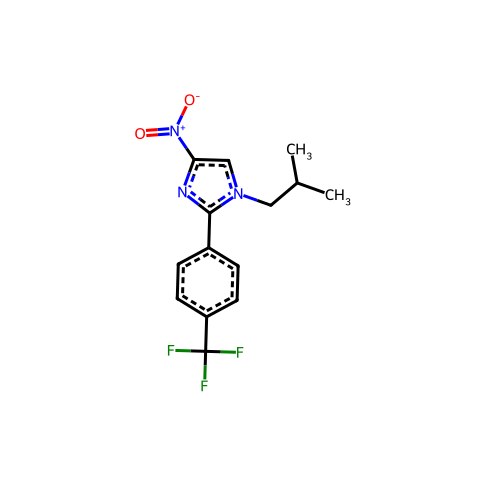 CC(C)Cn1cc([N+](=O)[O-])nc1-c1ccc(C(F)(F)F)cc1